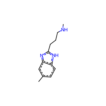 CNCCCc1nc2cc(C)ccc2[nH]1